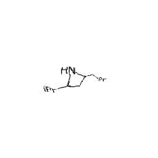 CC(C)CC1CC(C(C)C)N1